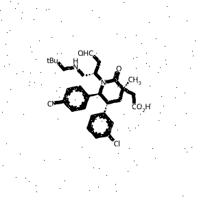 CC(C)(C)CNC[C@H](CC=O)N1C(=O)[C@@](C)(CC(=O)O)C[C@H](c2cccc(Cl)c2)[C@H]1c1ccc(Cl)cc1